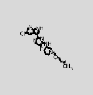 COCCOSN1CCCC(Nc2nc(-c3c[nH]c4ncc(Cl)cc34)ncc2F)C1